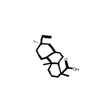 C=C[C@@]1(C)C=C2CCC3C(C)(C(=O)O)CCCC3(C)C2CC1